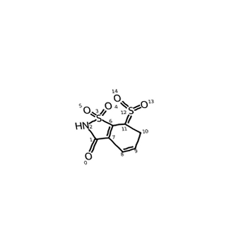 O=C1NS(=O)(=O)C2=C1C=CCC2=S(=O)=O